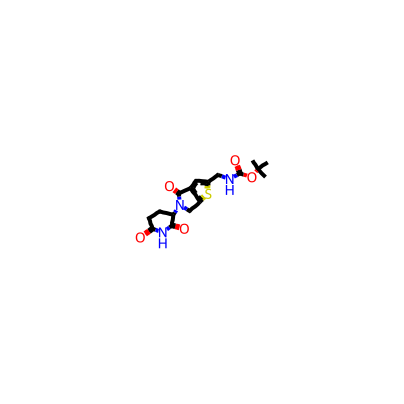 CC(C)(C)OC(=O)NCc1cc2c(s1)CN(C1CCC(=O)NC1=O)C2=O